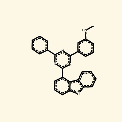 CNc1cccc(-c2nc(-c3ccccc3)nc(-c3cccc4oc5ccccc5c34)n2)c1